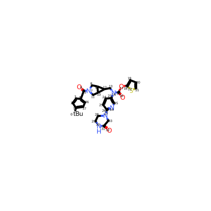 CC(C)(C)c1ccc(C(=O)N2CC3C(C2)C3CN(C(=O)Oc2cccs2)c2ccc(N3CCNC(=O)C3)nc2)cc1